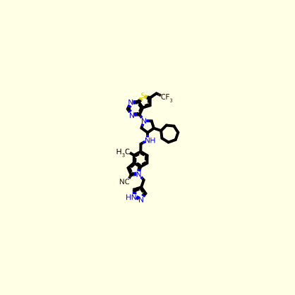 Cc1c(CNC2CN(c3ncnc4sc(CC(F)(F)F)cc34)CC2C2CCCCCC2)ccc2c1cc(C#N)n2Cc1cn[nH]c1